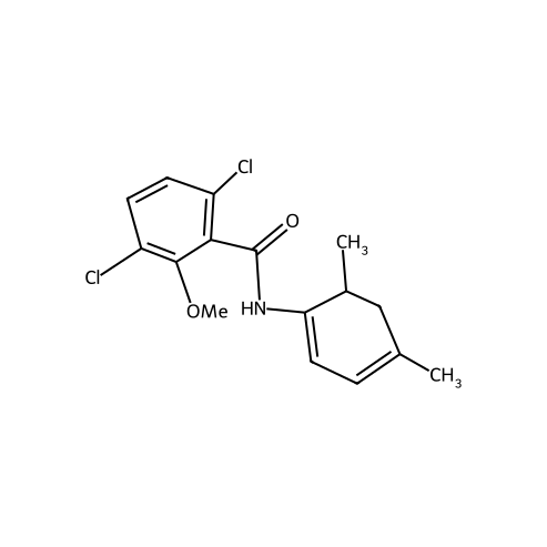 COc1c(Cl)ccc(Cl)c1C(=O)NC1=CC=C(C)CC1C